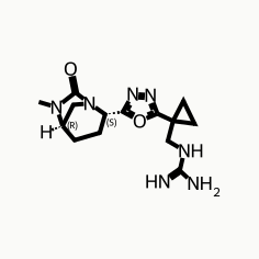 CN1C(=O)N2C[C@H]1CC[C@H]2c1nnc(C2(CNC(=N)N)CC2)o1